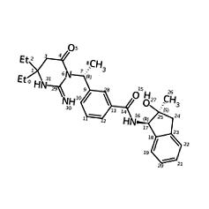 CCC1(CC)CC(=O)N([C@H](C)c2cccc(C(=O)N[C@@H]3c4ccccc4C[C@]3(C)O)c2)C(=N)N1